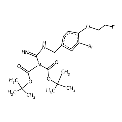 CC(C)(C)OC(=O)N(C(=N)NCc1ccc(OCCF)c(Br)c1)C(=O)OC(C)(C)C